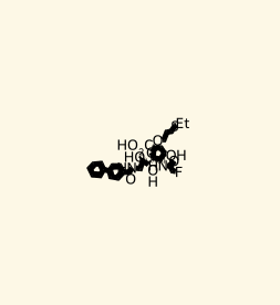 CCSCCCO[C@]1(C(=O)O)CC(O)[C@@H](NC(=O)CF)[C@H](C(O)[C@H](O)CNC(=O)c2ccc(-c3ccccc3)cc2)O1